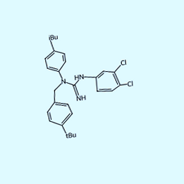 CCC(C)c1ccc(N(Cc2ccc(C(C)(C)C)cc2)C(=N)Nc2ccc(Cl)c(Cl)c2)cc1